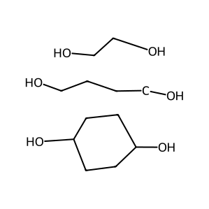 OC1CCC(O)CC1.OCCCCO.OCCO